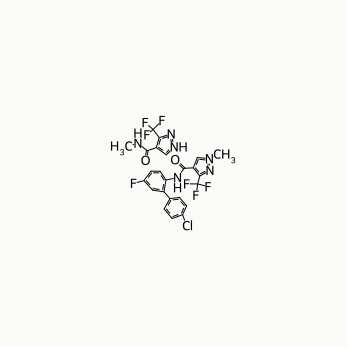 CNC(=O)c1c[nH]nc1C(F)(F)F.Cn1cc(C(=O)Nc2ccc(F)cc2-c2ccc(Cl)cc2)c(C(F)(F)F)n1